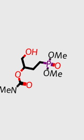 CNC(=O)OC(CO)CCP(=O)(OC)OC